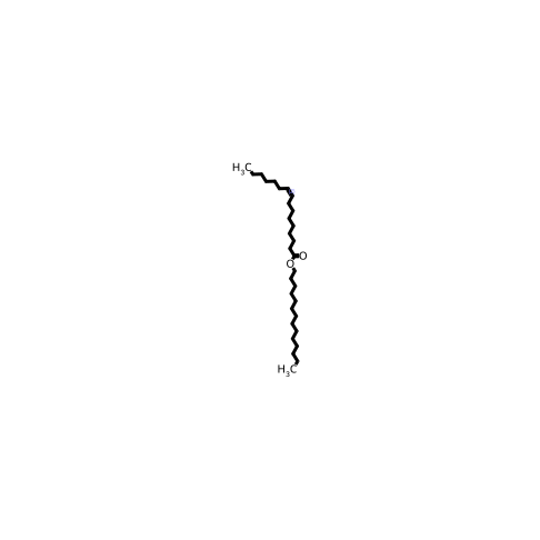 CCCCCC/C=C\CCCCCCCC(=O)OCCCCCCCCCCCCCC